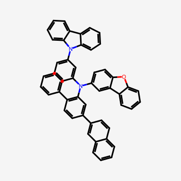 c1ccc(-c2ccc(-c3ccc4ccccc4c3)cc2N(c2cccc(-n3c4ccccc4c4ccccc43)c2)c2ccc3oc4ccccc4c3c2)cc1